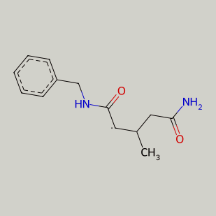 CC([CH]C(=O)NCc1ccccc1)CC(N)=O